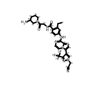 CCc1cc(Nc2nccn3c(-c4cn(CC#N)nc4C(F)(F)F)cnc23)ccc1C(=O)NCC(=O)N1CCCC(N)C1